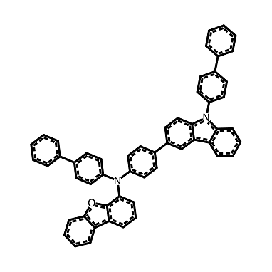 c1ccc(-c2ccc(N(c3ccc(-c4ccc5c(c4)c4ccccc4n5-c4ccc(-c5ccccc5)cc4)cc3)c3cccc4c3oc3ccccc34)cc2)cc1